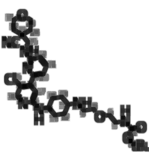 CC(C)(C)OC(=O)NCCOCCNC1CCC(Nc2cc(-c3cccc(NCC4(C#N)CCOCC4)n3)c(Cl)cn2)CC1